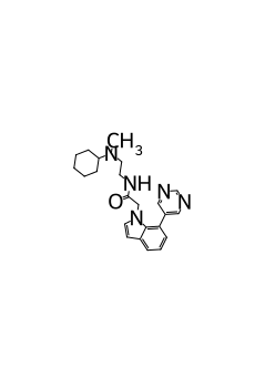 CN(CCNC(=O)Cn1ccc2cccc(-c3cncnc3)c21)C1CCCCC1